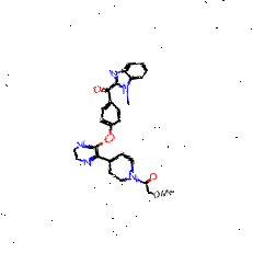 COCC(=O)N1CCC(c2nccnc2Oc2ccc(C(=O)c3nc4ccccc4n3C)cc2)CC1